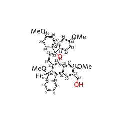 CCC1(OC)c2ccccc2-c2c1c1c(c3cc(OC)c(CO)cc23)OC(c2ccc(OC)cc2)(c2ccc(OC)cc2)C=C1